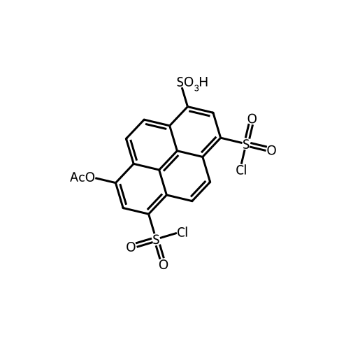 CC(=O)Oc1cc(S(=O)(=O)Cl)c2ccc3c(S(=O)(=O)Cl)cc(S(=O)(=O)O)c4ccc1c2c43